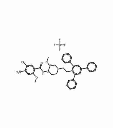 COc1cc(N)c(Cl)cc1C(=O)N[C@@H]1CCN(CC[n+]2c(-c3ccccc3)cc(-c3ccccc3)cc2-c2ccccc2)C[C@@H]1OC.F[B-](F)(F)F